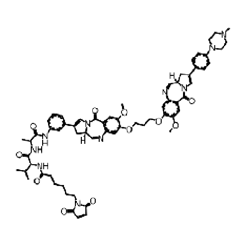 COc1cc2c(cc1OCCCOc1cc3c(cc1OC)C(=O)N1C=C(c4cccc(NC(=O)[C@H](C)NC(=O)[C@@H](NC(=O)CCCCCN5C(=O)C=CC5=O)C(C)C)c4)C[C@H]1C=N3)N=C[C@@H]1CC(c3ccc(N4CCN(C)CC4)cc3)=CN1C2=O